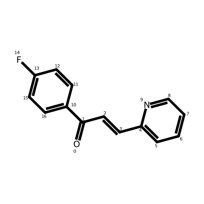 O=C(C=Cc1ccccn1)c1ccc(F)cc1